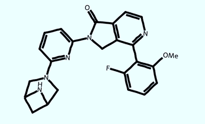 COc1cccc(F)c1-c1nccc2c1CN(c1cccc(N3CC4CC(C3)N4)n1)C2=O